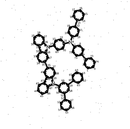 c1ccc(-c2ccc(N(c3ccc(-c4ccccc4)cc3)c3ccc(-n4c5ccccc5c5ccc(-c6ccc7c(c6)c6ccccc6n7-c6cc(-c7ccccc7)cc(-c7ccccc7)c6)cc54)cc3)cc2)cc1